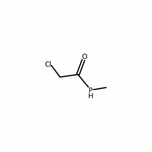 CPC(=O)CCl